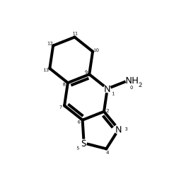 NN1C2=NCSC2=CC2=C1CCCC2